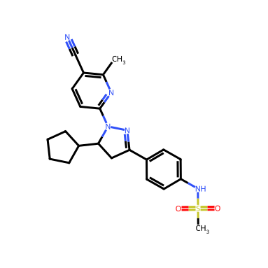 Cc1nc(N2N=C(c3ccc(NS(C)(=O)=O)cc3)CC2C2CCCC2)ccc1C#N